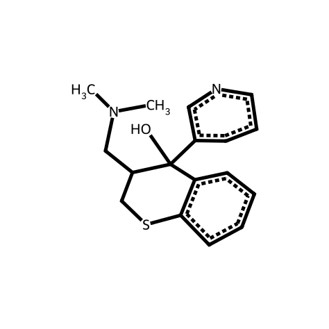 CN(C)CC1CSc2ccccc2C1(O)c1cccnc1